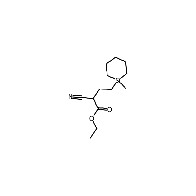 CCOC(=O)C(C#N)CC[Si]1(C)CCCCC1